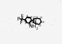 Nc1cc(C(F)(F)F)ccc1N1C2CCCC1CC2